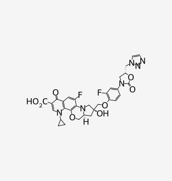 O=C(O)c1cn(C2CC2)c2c3c(c(F)cc2c1=O)N1C[C@](O)(COc2ccc(N4C[C@H](Cn5ccnn5)OC4=O)cc2F)C[C@H]1CO3